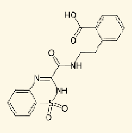 O=C(NCCc1ccccc1C(=O)O)C1=Nc2ccccc2S(=O)(=O)N1